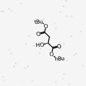 CCCCOC(=O)[C@@H](O)CC(=O)OC(C)(C)C